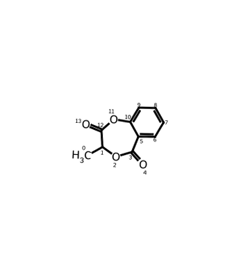 CC1OC(=O)c2ccccc2OC1=O